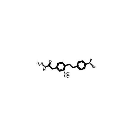 CCN(C)c1ccc(CCc2ccc(CC(=O)NN)cc2)cc1.Cl.Cl